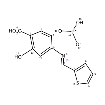 O=C(O)c1ccc(/N=C/c2cccs2)cc1O.[O-][I+2]([O-])O